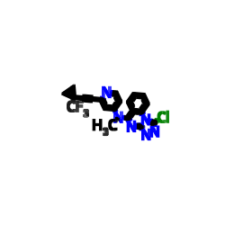 CN(c1ccnc(C#CC2(C(F)(F)F)CC2)c1)c1nc2nnc(Cl)n2c2ccccc12